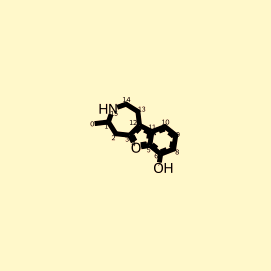 CC1Cc2oc3c(O)cccc3c2CCN1